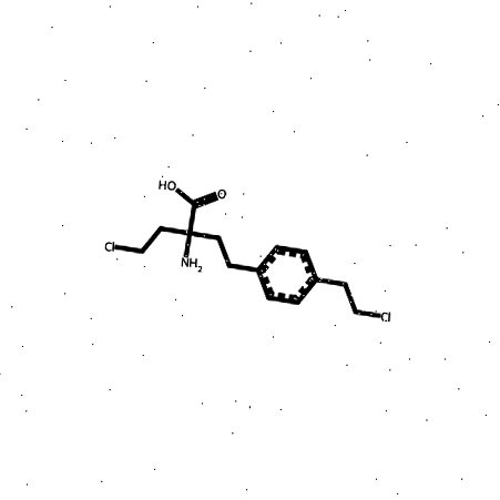 NC(CCCl)(CCc1ccc(CCCl)cc1)C(=O)O